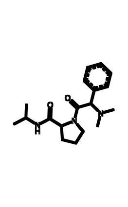 CC(C)NC(=O)C1CCCN1C(=O)C(c1ccccc1)N(C)C